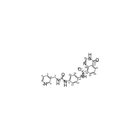 O=C(NCc1cccnc1)Nc1ccc(N[S+]([O-])c2cccc3c(=O)[nH]cnc23)cc1